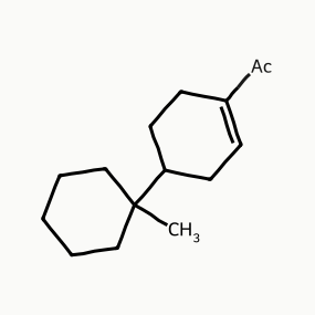 CC(=O)C1=CCC(C2(C)CCCCC2)CC1